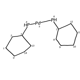 C1CCC([PH][Pd][PH]C2CCCCC2)CC1